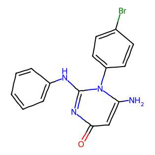 Nc1cc(=O)nc(Nc2ccccc2)n1-c1ccc(Br)cc1